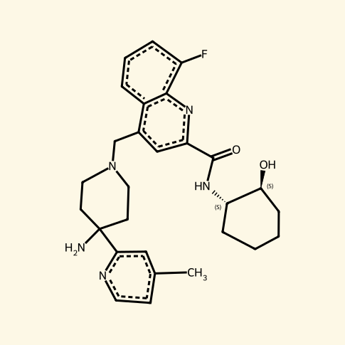 Cc1ccnc(C2(N)CCN(Cc3cc(C(=O)N[C@H]4CCCC[C@@H]4O)nc4c(F)cccc34)CC2)c1